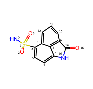 [NH]S(=O)(=O)c1ccc2c3c(cccc13)C(=O)N2